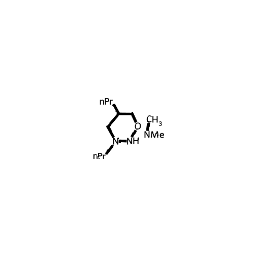 CCCC1CONN(CCC)C1.CNC